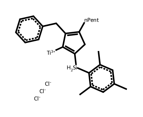 CCCCCC1=C(Cc2ccccc2)[C]([Ti+3])=C([SiH2]c2c(C)cc(C)cc2C)C1.[Cl-].[Cl-].[Cl-]